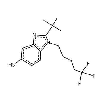 CC(C)(C)c1nc2cc(S)ccc2n1CCCCC(F)(F)F